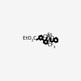 CCOC(=O)Cc1ccc(Cl)c(-c2ccc(C(F)(F)F)cc2CN(CC)C(=O)OCc2ccccc2)c1